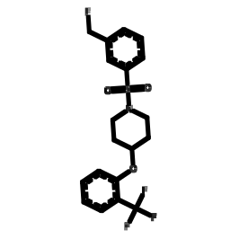 O=S(=O)(c1cccc(CF)c1)N1CCC(Oc2ccccc2C(F)(F)F)CC1